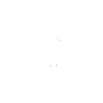 C=C(C)C(=O)OCCNC(C)c1ccc(N=Nc2ccc([N+](=O)[O-])cc2Cl)cc1